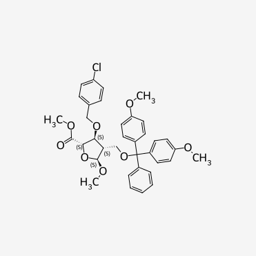 COC(=O)[C@H]1O[C@H](OC)[C@@H](COC(c2ccccc2)(c2ccc(OC)cc2)c2ccc(OC)cc2)[C@@H]1OCc1ccc(Cl)cc1